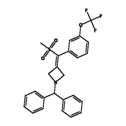 CS(=O)(=O)C(=C1CN(C(c2ccccc2)c2ccccc2)C1)c1cccc(OC(F)(F)F)c1